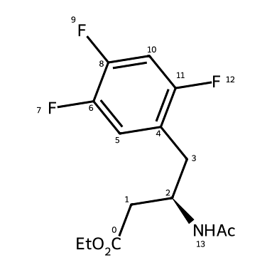 CCOC(=O)C[C@@H](Cc1cc(F)c(F)cc1F)NC(C)=O